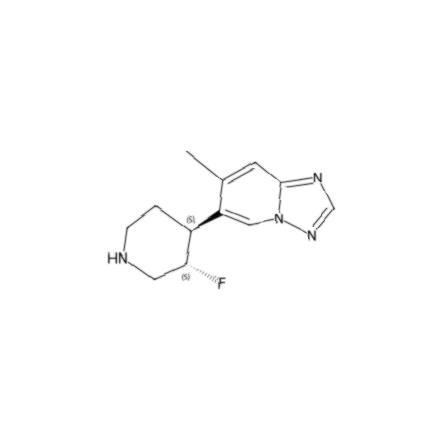 Cc1cc2ncnn2cc1[C@@H]1CCNC[C@H]1F